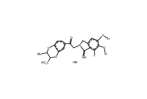 Br.CCOc1cc2c(c(F)c1OCC)C(=N)N(CC(=O)c1ccc3c(c1)OC(C(=O)O)C(C(C)(C)C)O3)C2